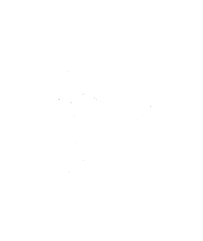 O=C(CN(Cc1ccccc1)c1c(Cl)cccc1Cl)Oc1ccccc1